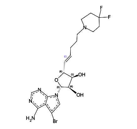 Nc1ncnc2c1c(Br)cn2[C@@H]1O[C@H](/C=C/CCCN2CCC(F)(F)CC2)[C@@H](O)[C@H]1O